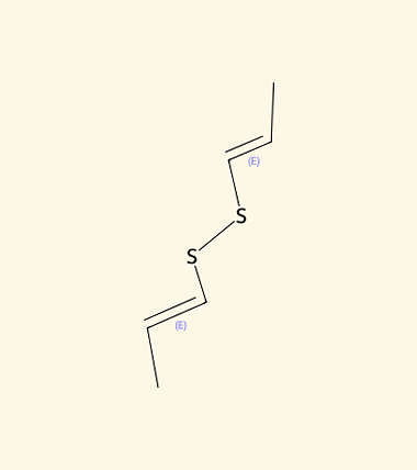 C/C=C/SS/C=C/C